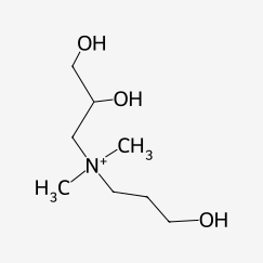 C[N+](C)(CCCO)CC(O)CO